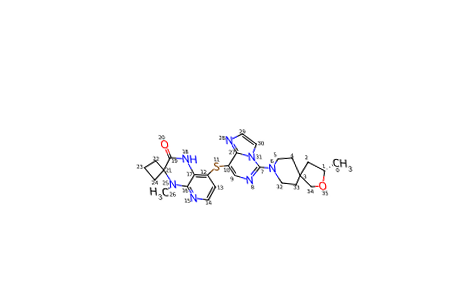 C[C@H]1CC2(CCN(c3ncc(Sc4ccnc5c4NC(=O)C4(CCC4)N5C)c4nccn34)CC2)CO1